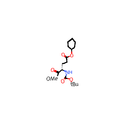 COC(=O)[C@H](CCC(=O)OC1CCCCC1)NC(=O)OC(C)(C)C